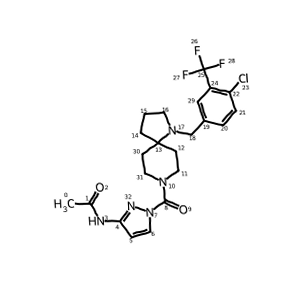 CC(=O)Nc1ccn(C(=O)N2CCC3(CCCN3Cc3ccc(Cl)c(C(F)(F)F)c3)CC2)n1